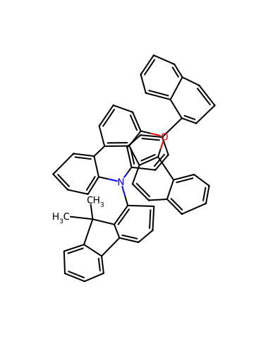 CC1(C)c2ccccc2-c2cccc(N(c3ccc(-c4cccc5ccccc45)cc3)c3ccccc3-c3cccc4oc5c6ccccc6ccc5c34)c21